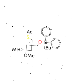 COC1(OC)CC(CO[Si](c2ccccc2)(c2ccccc2)C(C)(C)C)(CSC(C)=O)C1